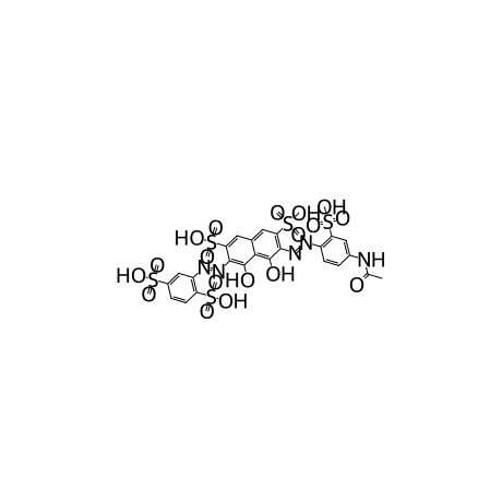 CC(=O)Nc1ccc(/N=N/c2c(S(=O)(=O)O)cc3cc(S(=O)(=O)O)c(/N=N/c4cc(S(=O)(=O)O)ccc4S(=O)(=O)O)c(O)c3c2O)c(S(=O)(=O)O)c1